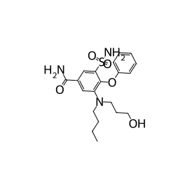 CCCCN(CCCO)c1cc(C(N)=O)cc(S(N)(=O)=O)c1Oc1ccccc1